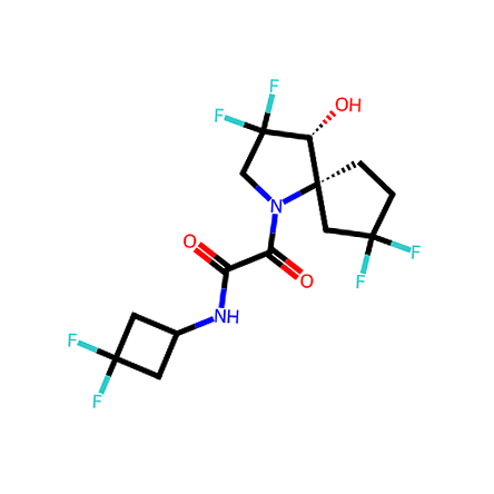 O=C(NC1CC(F)(F)C1)C(=O)N1CC(F)(F)[C@H](O)[C@]12CCC(F)(F)C2